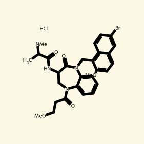 CNC(C)C(=O)NC1CN(C(=O)CCOC)c2ccccc2N(Cc2c(OC)ccc3cc(Br)ccc23)C1=O.Cl